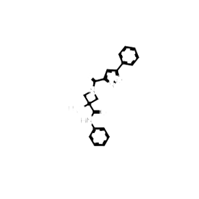 CC1(C(=O)Nc2ccccc2)CN(C(=O)c2cc(-c3ccccc3)on2)C1